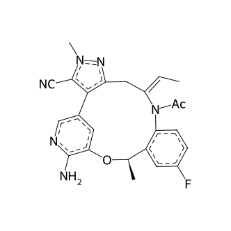 C/C=C1/Cc2nn(C)c(C#N)c2-c2cnc(N)c(c2)O[C@H](C)c2cc(F)ccc2N1C(C)=O